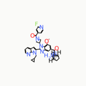 COc1cc(C(=O)N2C[C@H]3CC[C@@H]2[C@@H]3N)cc2nc(-c3cc4cccnc4n3CC3CC3)n(C3CN(C(=O)c4ccnc(F)c4)C3)c12